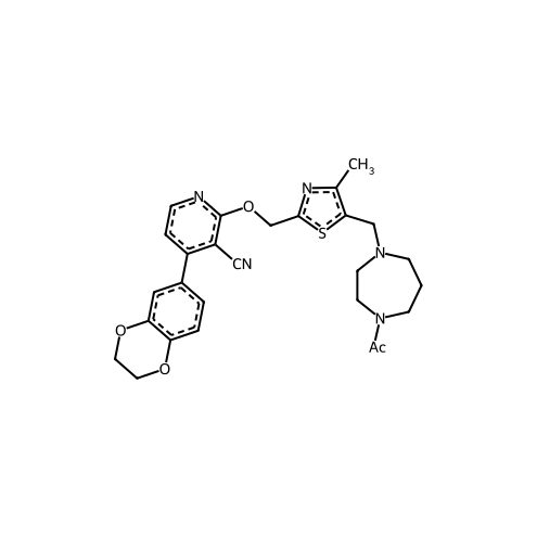 CC(=O)N1CCCN(Cc2sc(COc3nccc(-c4ccc5c(c4)OCCO5)c3C#N)nc2C)CC1